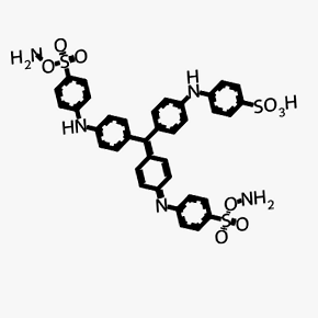 NOS(=O)(=O)c1ccc(N=C2C=CC(=C(c3ccc(Nc4ccc(S(=O)(=O)O)cc4)cc3)c3ccc(Nc4ccc(S(=O)(=O)ON)cc4)cc3)C=C2)cc1